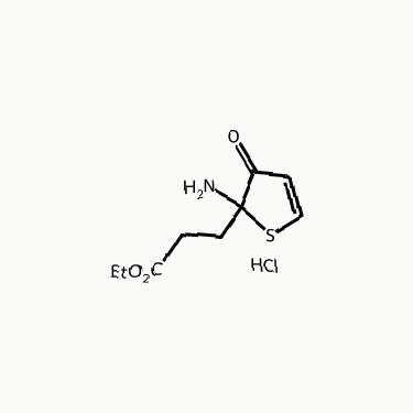 CCOC(=O)CCC1(N)SC=CC1=O.Cl